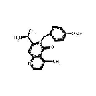 COc1ccc(Cn2c(C(C)N)cc3nccc(C)c3c2=O)cc1